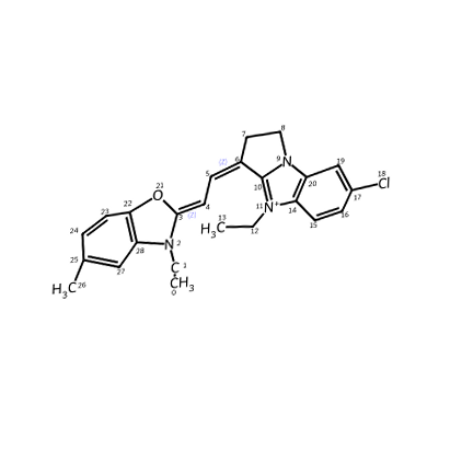 CCN1/C(=C/C=C2/CCn3c2[n+](CC)c2ccc(Cl)cc23)Oc2ccc(C)cc21